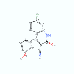 COc1cccc(-c2c(C#N)c(=O)[nH]c3cc(Cl)ccc23)c1